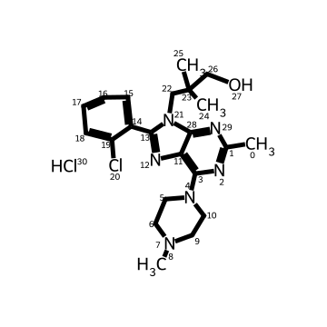 Cc1nc(N2CCN(C)CC2)c2nc(-c3ccccc3Cl)n(CC(C)(C)CO)c2n1.Cl